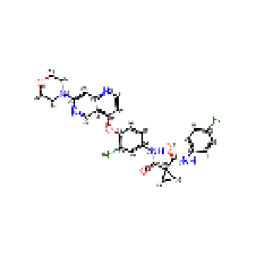 O=C(Nc1ccc(F)cc1)C1(C(=O)Nc2ccc(Oc3ccnc4cc(N5CCOCC5)ncc34)c(F)c2)CC1